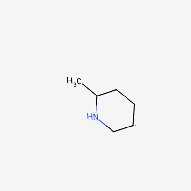 CC1CC[CH]CN1